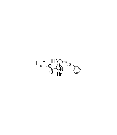 CCOC(=O)c1c(Br)nn2c1NC[C@H]2COCc1ccccc1